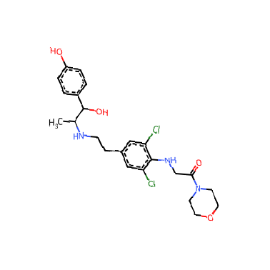 CC(NCCc1cc(Cl)c(NCC(=O)N2CCOCC2)c(Cl)c1)C(O)c1ccc(O)cc1